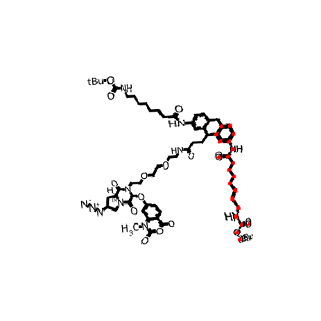 Cn1c(=O)oc(=O)c2ccc(OC3C(=O)N4CC(N=[N+]=[N-])C[C@H]4C(=O)N3CCOCCOCCNC(=O)CCC34c5cc(NC(=O)CCCCCCCNC(=O)OC(C)(C)C)ccc5C(c5ccc(NC(=O)CCCCCCCNC(=O)OC(C)(C)C)cc53)c3ccc(NC(=O)CCCCCCCNC(=O)OC(C)(C)C)cc34)cc21